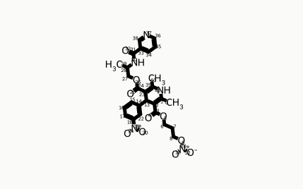 CC1=C(C(=O)OCCCO[N+](=O)[O-])C(c2cccc([N+](=O)[O-])c2)C(C(=O)OCC(C)NC(=O)c2cccnc2)=C(C)N1